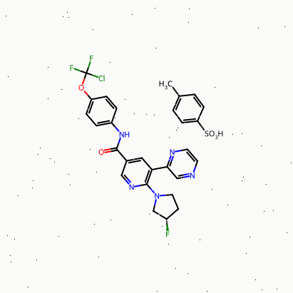 Cc1ccc(S(=O)(=O)O)cc1.O=C(Nc1ccc(OC(F)(F)Cl)cc1)c1cnc(N2CC[C@@H](F)C2)c(-c2cnccn2)c1